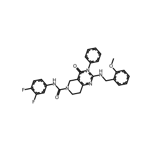 COc1ccccc1CNc1nc2c(c(=O)n1-c1ccccc1)CN(C(=O)Nc1ccc(F)c(F)c1)CC2